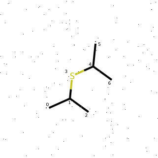 [CH2]C(C)SC([CH2])C